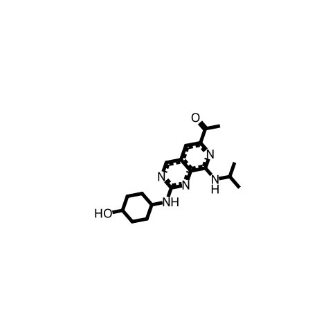 CC(=O)c1cc2cnc(NC3CCC(O)CC3)nc2c(NC(C)C)n1